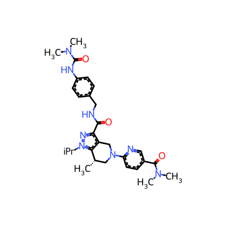 CC(C)n1nc(C(=O)NCc2ccc(NC(=O)N(C)C)cc2)c2c1[C@@H](C)CN(c1ccc(C(=O)N(C)C)cn1)C2